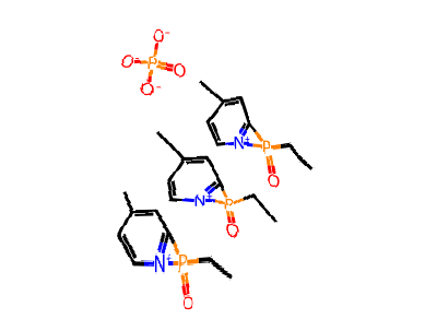 CCP1(=O)c2cc(C)cc[n+]21.CCP1(=O)c2cc(C)cc[n+]21.CCP1(=O)c2cc(C)cc[n+]21.O=P([O-])([O-])[O-]